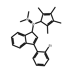 CCc1ccccc1C1=C[CH]([Zr]([CH]2C(C)=C(C)C(C)=C2C)=[Si](C)C)c2ccccc21